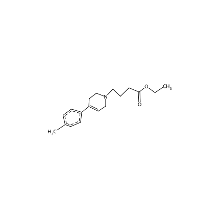 CCOC(=O)CCCN1CC=C(c2ccc(C)cc2)CC1